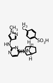 Cc1ccc(S(=O)(=O)O)cc1.Cn1cc(Nc2nccc(N3C[C@H]4CC[C@@H](C3)N4C=O)n2)cn1